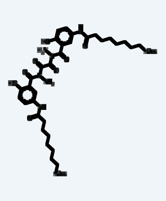 CCCCCCCCCCCCCCCCCC(=O)Nc1ccc(O)c(C(=O)N(N)C(=O)C(=O)N(N)C(=O)c2cc(NC(=O)CCCCCCCCCCCCCCCCC)ccc2O)c1